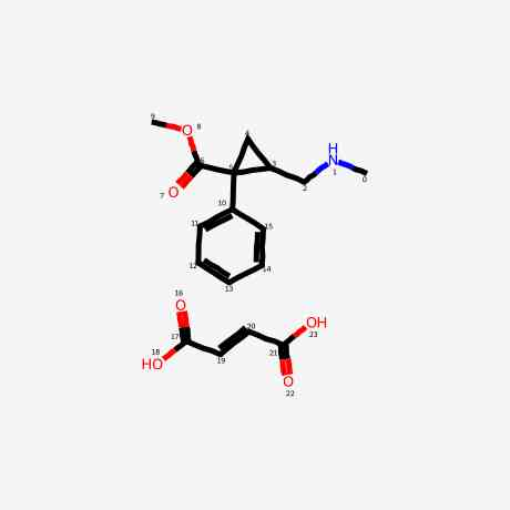 CNCC1CC1(C(=O)OC)c1ccccc1.O=C(O)C=CC(=O)O